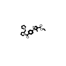 CCOC(=O)c1cnn(-c2ccc(C(=O)N3CCCC3CN3CCCC3)cc2)c1C